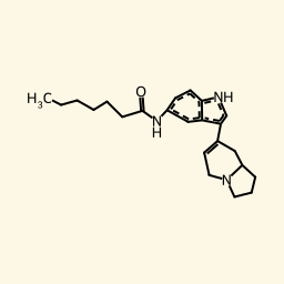 CCCCCCC(=O)Nc1ccc2[nH]cc(C3=CCN4CCCC4C3)c2c1